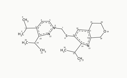 CC(C)c1cc[n+](CSc2cc3c(nc2C(C)C)COCC3)nc1C(C)C